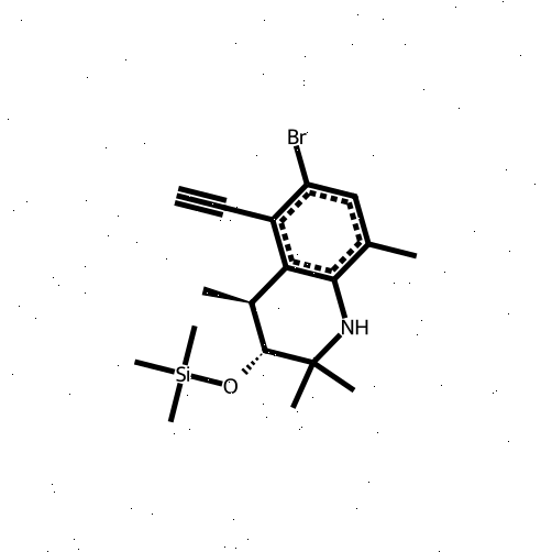 C#Cc1c(Br)cc(C)c2c1[C@H](C)[C@@H](O[Si](C)(C)C)C(C)(C)N2